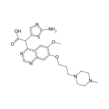 COc1cc2c(C(C(=O)O)c3cnc(N)s3)ncnc2cc1OCCCN1CCN(C)CC1